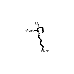 CCCCCCCCCCCCC[n+]1ccn(CC)c1CCCCC